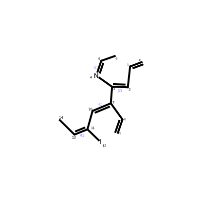 C=C/C=C(\N=C/C)C(/C=C)=C/C(I)=C\C